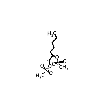 CCCCCC([CH]OS(C)(=O)=O)OS(C)(=O)=O